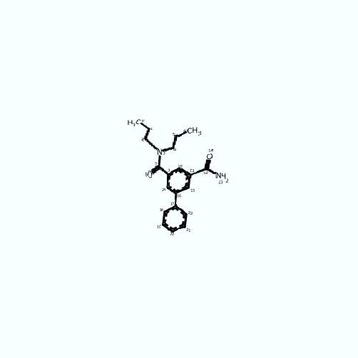 CCCN(CCC)C(=O)c1cc(C(N)=O)cc(-c2ccccc2)c1